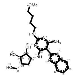 COCCCCNc1nc(C)c(-c2nc3ccccc3s2)c(N[C@@H]2C[C@H](CO)[C@@H](O)[C@H]2O)n1